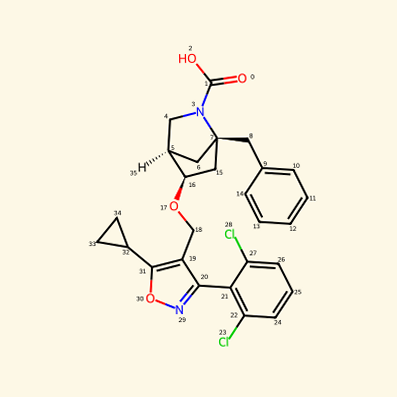 O=C(O)N1C[C@H]2C[C@@]1(Cc1ccccc1)C[C@H]2OCc1c(-c2c(Cl)cccc2Cl)noc1C1CC1